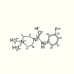 C[N+]1(C)CCN(C(=O)Nc2cccc(F)c2)CC1.[I-]